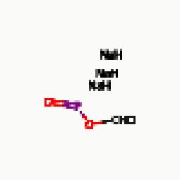 O=COP=O.[NaH].[NaH].[NaH]